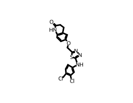 O=C1CCc2cc(OCc3nnc(Nc4ccc(Cl)c(Cl)c4)s3)ccc2N1